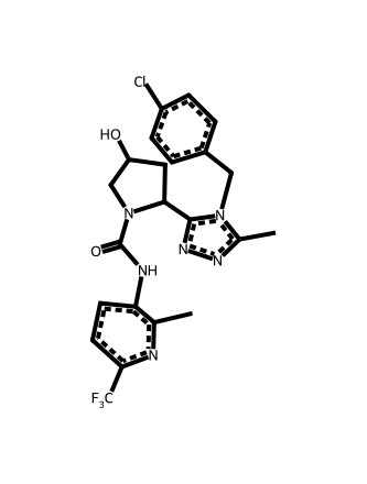 Cc1nc(C(F)(F)F)ccc1NC(=O)N1CC(O)CC1c1nnc(C)n1Cc1ccc(Cl)cc1